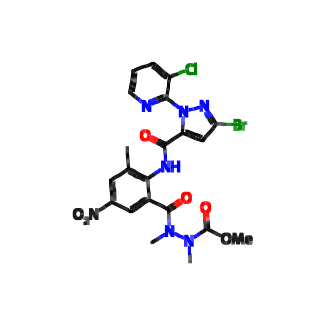 COC(=O)N(C)N(C)C(=O)c1cc([N+](=O)[O-])cc(C)c1NC(=O)c1cc(Br)nn1-c1ncccc1Cl